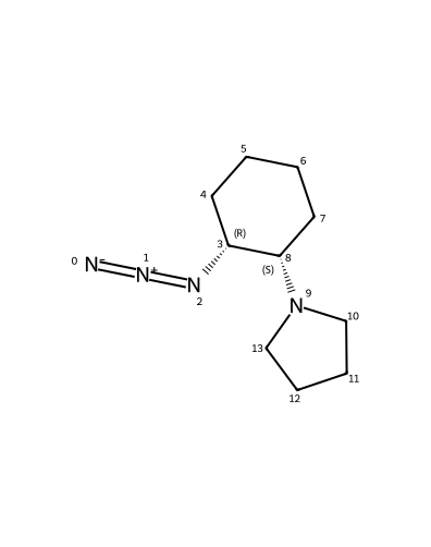 [N-]=[N+]=N[C@@H]1CCCC[C@@H]1N1CCCC1